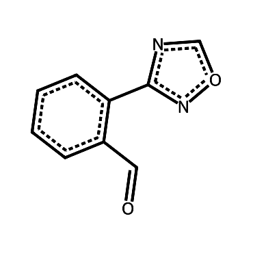 O=Cc1ccccc1-c1ncon1